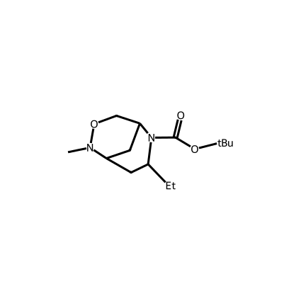 CCC1CC2CC(CON2C)N1C(=O)OC(C)(C)C